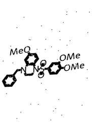 COc1ccc2c(c1)N(Cc1ccccc1)CCN2S(=O)(=O)c1ccc(OC)c(OC)c1